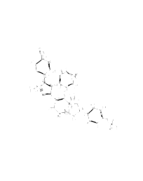 CCOc1ccc([C@@H]2C[C@H]3C=C(c4c[nH]c(-c5ccc(F)cc5)c4-c4ccncc4)CCN3C2)cc1